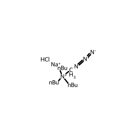 CCCC[N+](C)(CCCC)CCCC.Cl.[N-]=[N+]=[N-].[Na+]